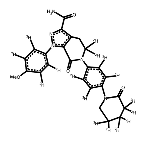 [2H]c1c([2H])c(-n2nc(C(N)=O)c3c2C(=O)N(c2c([2H])c([2H])c(N4CC([2H])([2H])C([2H])([2H])C([2H])([2H])C4=O)c([2H])c2[2H])C([2H])([2H])C3)c([2H])c([2H])c1OC